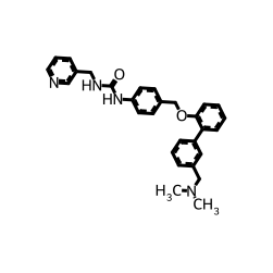 CN(C)Cc1cccc(-c2ccccc2OCc2ccc(NC(=O)NCc3cccnc3)cc2)c1